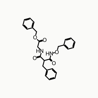 O=C(CNC(=O)C(Cc1ccccc1)C(=O)NOCc1ccccc1)OCc1ccccc1